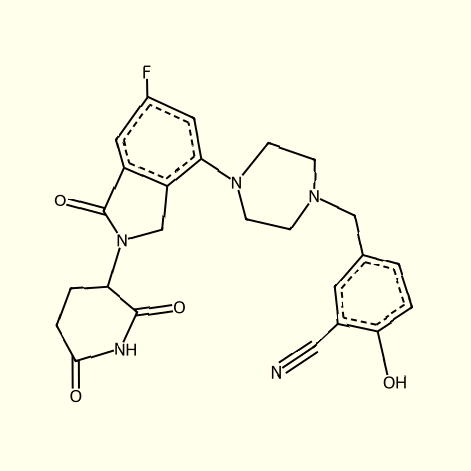 N#Cc1cc(CN2CCN(c3cc(F)cc4c3CN(C3CCC(=O)NC3=O)C4=O)CC2)ccc1O